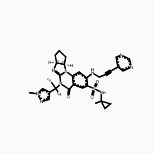 [2H]C([2H])(c1cnn(C)c1)N1C(=O)c2cc(S(=O)(=O)NC3(C)CC3)c(NCC#Cc3cncnc3)cc2N2C1=N[C@H]1CCC[C@H]12